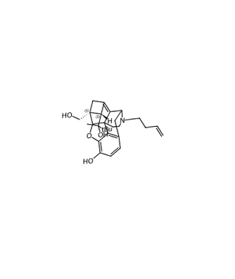 C=CCCN1CCC23C4=C5C[C@](CO)(C2Oc2c(O)ccc(c23)CC41)[C@H]5C(C)(O)C(C)(C)C